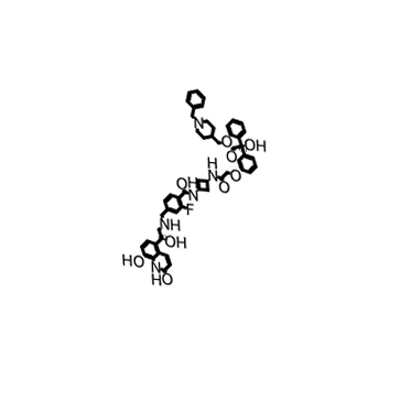 O=C(COc1cccc([C@](O)(C(=O)OCC2CCN(Cc3ccccc3)CC2)c2ccccc2)c1)N[C@H]1C[C@H](NC(=O)c2ccc(CNC[C@H](O)c3ccc(O)c4[nH]c(=O)ccc34)cc2F)C1